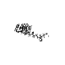 CC(=O)O.CC(=O)O.CC(=O)O.CC(=O)O.CC(=O)O.CC(=O)O.CCCCCCCC(=O)OCC